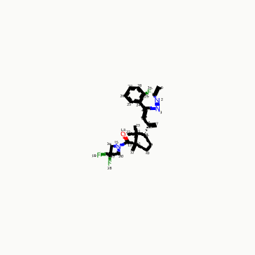 C=C/N=N\C(=C/C(=C)[C@@H]1CCC(C)(C(=O)N2CC(F)(F)C2)C1(C)C)c1ccccc1F